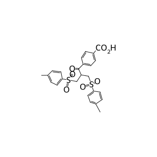 Cc1ccc(S(=O)(=O)CC(CS(=O)(=O)c2ccc(C)cc2)C(=O)c2ccc(C(=O)O)cc2)cc1